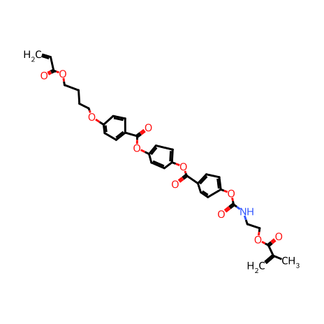 C=CC(=O)OCCCCOc1ccc(C(=O)Oc2ccc(OC(=O)c3ccc(OC(=O)NCCOC(=O)C(=C)C)cc3)cc2)cc1